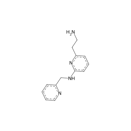 NCCc1cccc(NCc2ccccn2)n1